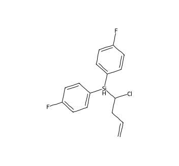 C=CCC(Cl)[SiH](c1ccc(F)cc1)c1ccc(F)cc1